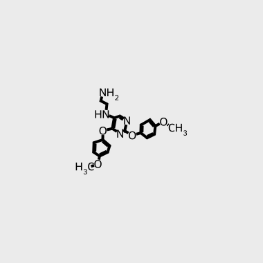 COc1ccc(Oc2ncc(NCCN)c(Oc3ccc(OC)cc3)n2)cc1